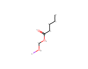 CCCCC(=O)OCOI